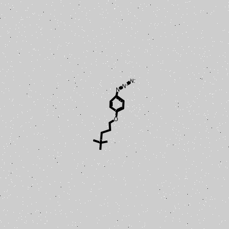 CC(C)(C)CCCOc1ccc(N=[N+]=[N-])cc1